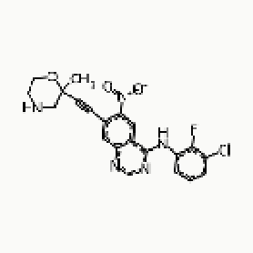 CC1(C#Cc2cc3ncnc(Nc4cccc(Cl)c4F)c3cc2[N+](=O)[O-])CNCCO1